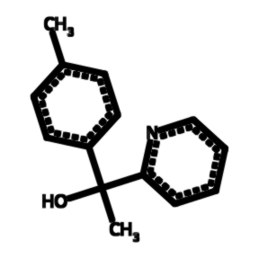 Cc1ccc(C(C)(O)c2ccccn2)cc1